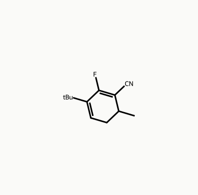 CC1CC=C(C(C)(C)C)C(F)=C1C#N